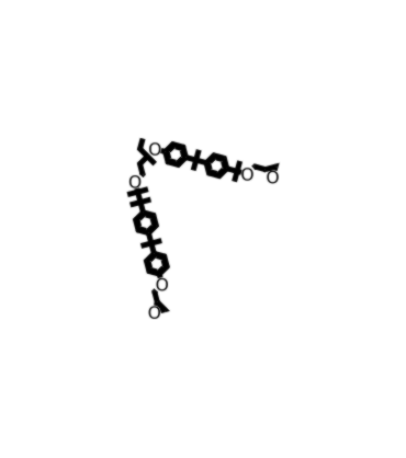 CCC(C)(CCOC(C)(C)C(C)(C)c1ccc(C(C)(C)c2ccc(OCC3CO3)cc2)cc1)Oc1ccc(C(C)(C)c2ccc(C(C)(C)OCC3CO3)cc2)cc1